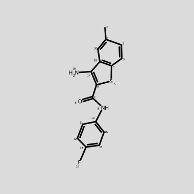 Cc1ccc2sc(C(=O)Nc3ccc(F)cc3)c(N)c2c1